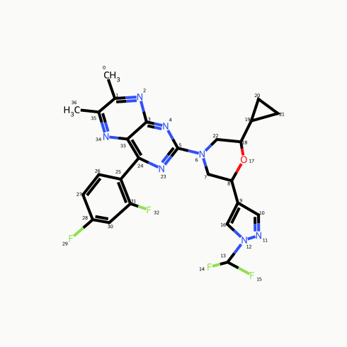 Cc1nc2nc(N3CC(c4cnn(C(F)F)c4)OC(C4CC4)C3)nc(-c3ccc(F)cc3F)c2nc1C